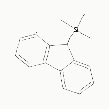 C[Si](C)(C)C1c2[c]cccc2-c2ccccc21